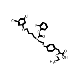 CCOC(Cc1ccc(OCCN(CCCCOc2cc(Cl)cc(Cl)c2)C(=O)Oc2ccccc2F)cc1)C(=O)O